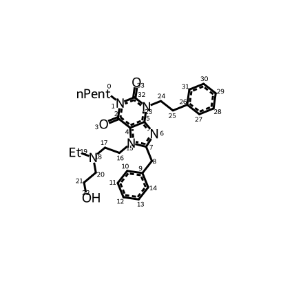 CCCCCn1c(=O)c2c(nc(Cc3ccccc3)n2CCN(CC)CCO)n(CCc2ccccc2)c1=O